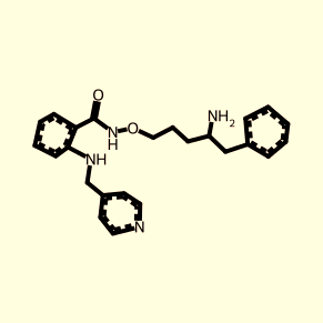 NC(CCCONC(=O)c1ccccc1NCc1ccncc1)Cc1ccccc1